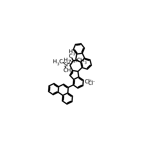 CC(C)CC1=Cc2c(-c3cc4ccccc4c4ccccc34)cccc2C1c1cccc2c1[CH]([Zr+2][SiH](C)C)c1ccccc1-2.[Cl-].[Cl-]